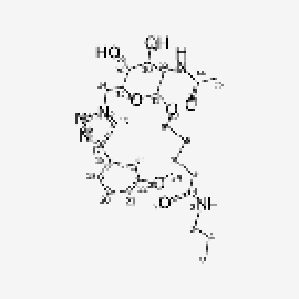 CCCNC(=O)CCCCOC1OC(Cn2cc(-c3cccc(OC)c3)nn2)C(O)C(O)C1NC(C)=O